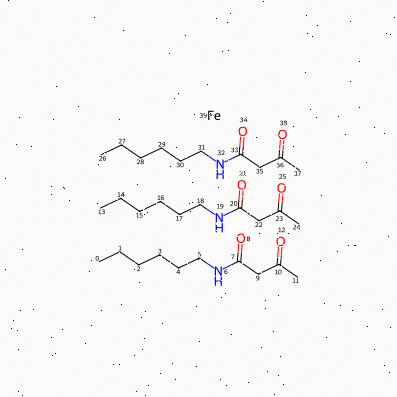 CCCCCCNC(=O)CC(C)=O.CCCCCCNC(=O)CC(C)=O.CCCCCCNC(=O)CC(C)=O.[Fe]